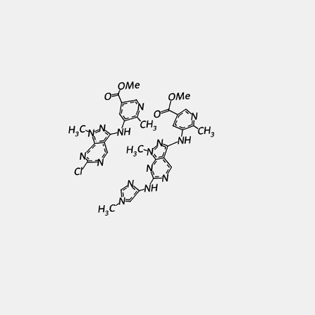 COC(=O)c1cnc(C)c(Nc2nn(C)c3nc(Cl)ncc23)c1.COC(=O)c1cnc(C)c(Nc2nn(C)c3nc(Nc4cn(C)cn4)ncc23)c1